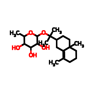 CC1=C2CC(C(C)(C)OC3OC(C)C(O)C(O)C3O)CCC2(C)CCC1